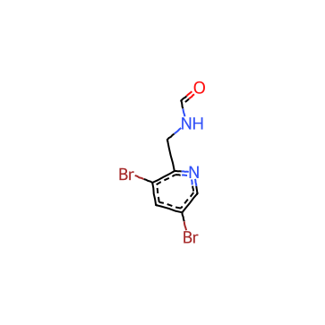 O=CNCc1ncc(Br)cc1Br